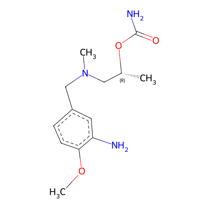 COc1ccc(CN(C)C[C@@H](C)OC(N)=O)cc1N